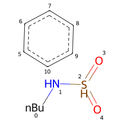 CCCCN[SH](=O)=O.c1ccccc1